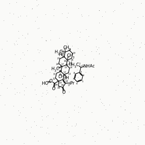 CC(=O)NC(C)c1ccccc1.CC(C)C1=C2[C@H]3CC[C@@H]4[C@@]5(C)CCCC(C)(C)[C@@H]5CC[C@@]4(C)[C@]3(C)CC[C@@]2(C(=O)OO)CC1=O